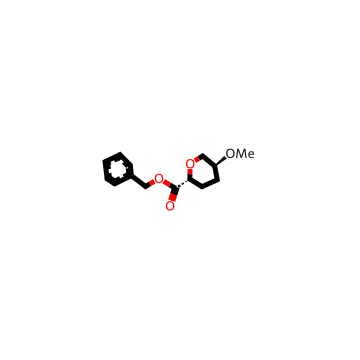 CO[C@H]1CC[C@H](C(=O)OCc2ccccc2)OC1